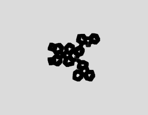 c1ccc2c(c1)-c1ccc(N(c3ccc(-c4cccc5c4oc4ccccc45)cc3)c3cccc4c3-c3ccccc3C4(c3ccc4c(c3)CC4)c3ccc4c(c3)CC4)cc1C21CCCCC1